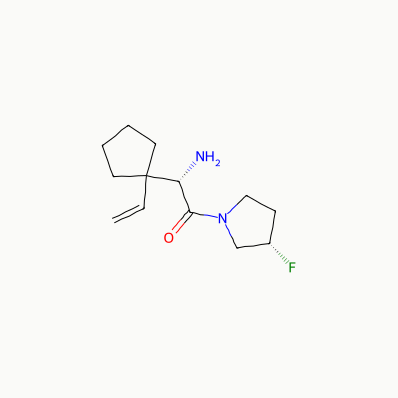 C=CC1([C@H](N)C(=O)N2CC[C@H](F)C2)CCCC1